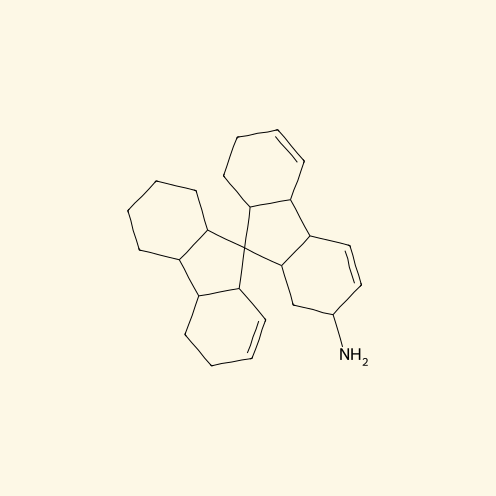 NC1C=CC2C3C=CCCC3C3(C4C=CCCC4C4CCCCC43)C2C1